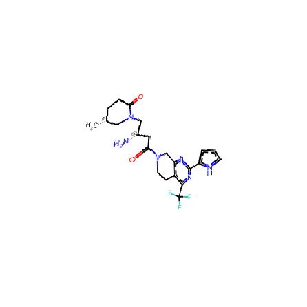 C[C@@H]1CCC(=O)N(C[C@@H](N)CC(=O)N2CCc3c(nc(-c4ccc[nH]4)nc3C(F)(F)F)C2)C1